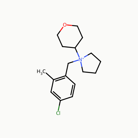 Cc1cc(Cl)ccc1C[N+]1(C2CCOCC2)CCCC1